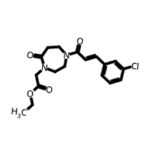 CCOC(=O)CN1CCN(C(=O)C=Cc2cccc(Cl)c2)CCC1=O